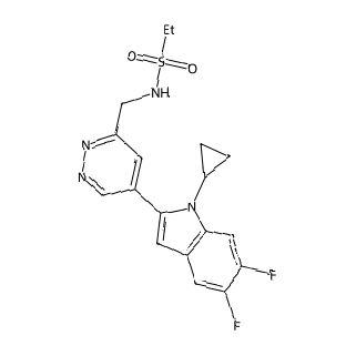 CCS(=O)(=O)NCc1cc(-c2cc3cc(F)c(F)cc3n2C2CC2)cnn1